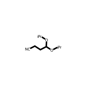 CC(C)OC(CCC#N)OC(C)C